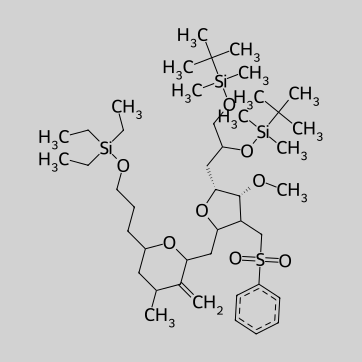 C=C1C(C)CC(CCCO[Si](CC)(CC)CC)OC1CC1O[C@H](CC(CO[Si](C)(C)C(C)(C)C)O[Si](C)(C)C(C)(C)C)[C@H](OC)C1CS(=O)(=O)c1ccccc1